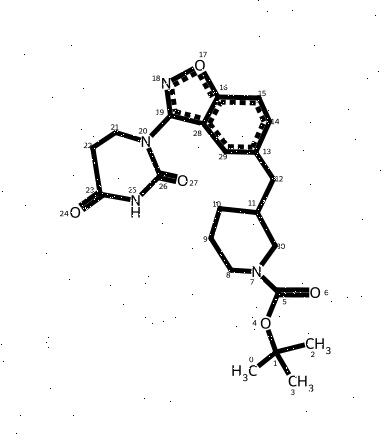 CC(C)(C)OC(=O)N1CCCC(Cc2ccc3onc(N4CCC(=O)NC4=O)c3c2)C1